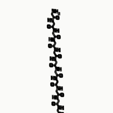 NCC(=O)NCC(=O)NCC(=O)NCC(=O)NCC(=O)NCC(=O)NCC(=O)NCC(=O)NCC(=O)NCC(=O)NCC(=O)O